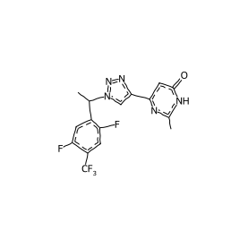 Cc1nc(-c2cn(C(C)c3cc(F)c(C(F)(F)F)cc3F)nn2)cc(=O)[nH]1